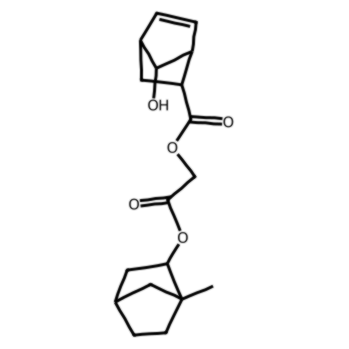 CC12CCC(CC1OC(=O)COC(=O)C1CC3C=CC1C3O)C2